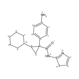 Nc1ccc(C2(C(=O)Nc3nccs3)CC2C2CCCCC2)cc1